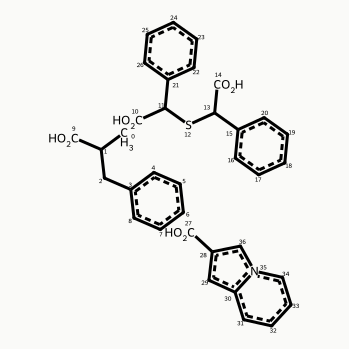 CC(Cc1ccccc1)C(=O)O.O=C(O)C(SC(C(=O)O)c1ccccc1)c1ccccc1.O=C(O)c1cc2ccccn2c1